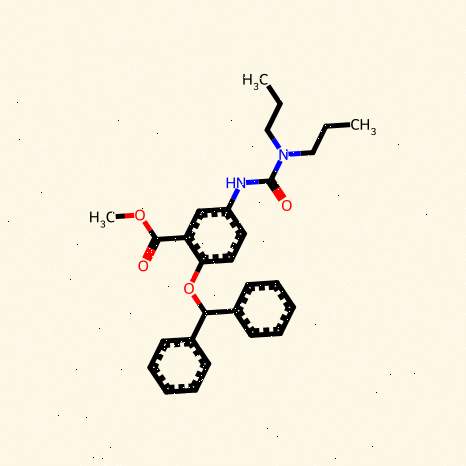 CCCN(CCC)C(=O)Nc1ccc(OC(c2ccccc2)c2ccccc2)c(C(=O)OC)c1